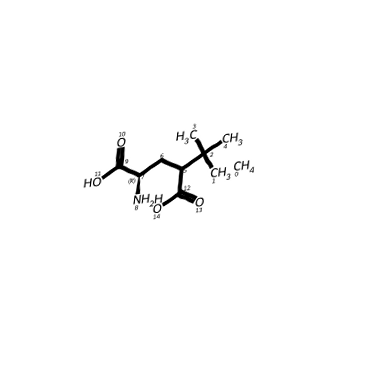 C.CC(C)(C)C(C[C@@H](N)C(=O)O)C(=O)O